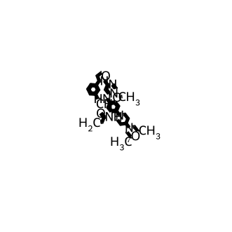 C#Cc1cccc(C2CCON2c2cc(Nc3cc(NC(=O)C=C)c(N4CCC(N5C[C@@H](C)O[C@@H](C)C5)CC4)cc3OC)ncn2)c1